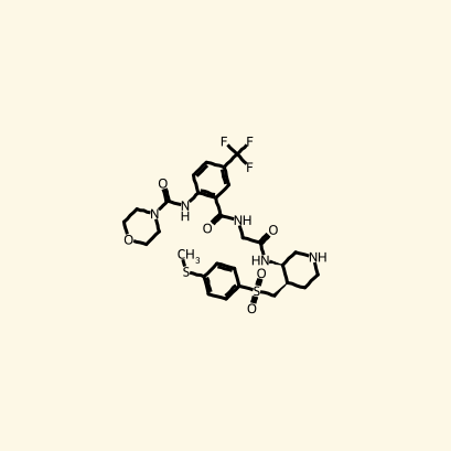 CSc1ccc(S(=O)(=O)C[C@@H]2CCNC[C@@H]2NC(=O)CNC(=O)c2cc(C(F)(F)F)ccc2NC(=O)N2CCOCC2)cc1